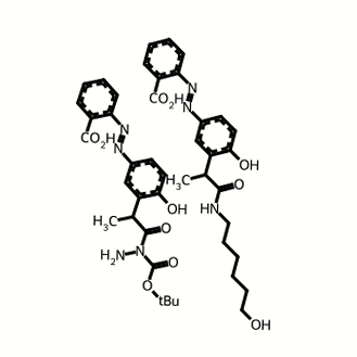 CC(C(=O)N(N)C(=O)OC(C)(C)C)c1cc(/N=N/c2ccccc2C(=O)O)ccc1O.CC(C(=O)NCCCCCCO)c1cc(/N=N/c2ccccc2C(=O)O)ccc1O